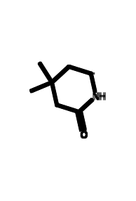 CC1(C)C[CH]NC(=O)C1